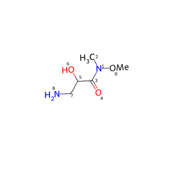 CON(C)C(=O)C(O)CN